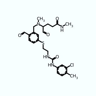 CNC(=O)CCC(C=O)N(C)Cc1cc(SCCNC(=O)Nc2ccc(C)c(Cl)c2)ccc1C=O